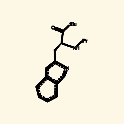 CC(C)N[C@@H](Cc1cc2ccccc2cn1)C(=O)C(C)(C)C